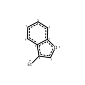 [CH2]Cc1coc2ccccc12